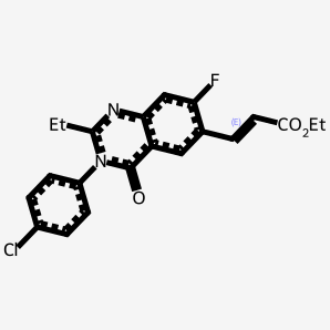 CCOC(=O)/C=C/c1cc2c(=O)n(-c3ccc(Cl)cc3)c(CC)nc2cc1F